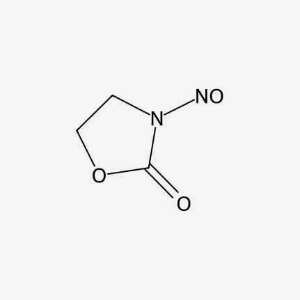 O=NN1CCOC1=O